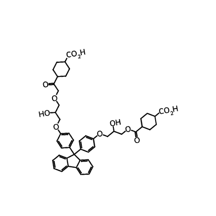 O=C(O)C1CCC(C(=O)COCC(O)COc2ccc(C3(c4ccc(OCC(O)COC(=O)C5CCC(C(=O)O)CC5)cc4)c4ccccc4-c4ccccc43)cc2)CC1